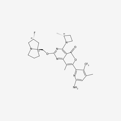 Cc1cc(N)nc(-c2oc(=O)c3c(N4CC[C@H]4C)nc(OC[C@@]45CCCN4C[C@H](F)C5)nc3c2C)c1C(F)(F)F